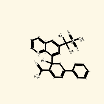 CC(=O)C1=CC=C(c2ccccc2)CC1(O)c1cc(C(C)(C)S(C)(=O)=O)cc2cccnc12